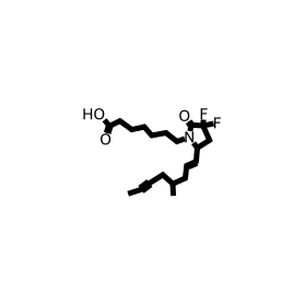 CC#CCC(C)C/C=C/C1CC(F)(F)C(=O)N1CCCCCCC(=O)O